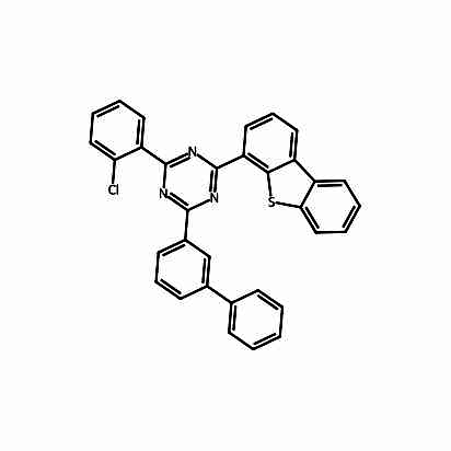 Clc1ccccc1-c1nc(-c2cccc(-c3ccccc3)c2)nc(-c2cccc3c2sc2ccccc23)n1